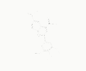 COc1cc(-c2cc(C(=O)O)c3cc([N+](=O)[O-])ccc3n2)cc(OC)c1OC